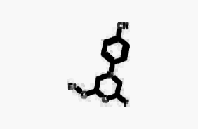 CCOC1CN(c2ccc(C#N)cc2)CC(F)O1